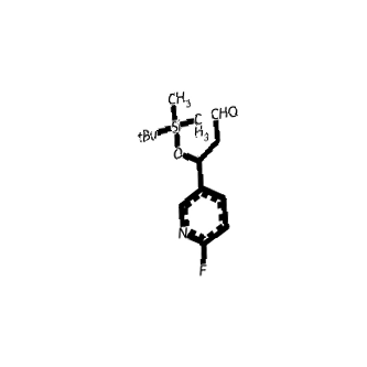 CC(C)(C)[Si](C)(C)OC(CC=O)c1ccc(F)nc1